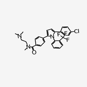 CN(C)CCN(C)C(=O)c1ccc(-c2ccc(-c3ccc(Cl)cc3)n2-c2ccccc2C(F)(F)F)cc1